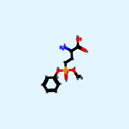 COP(=O)(CCC(N)C(=O)O)Oc1ccccc1